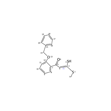 CS/C(S)=C/C(=O)c1ccccc1OCc1ccccc1